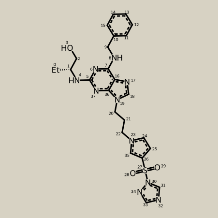 CC[C@H](CO)Nc1nc(NCc2ccccc2)c2ncn(CCCn3ccc(S(=O)(=O)n4cncn4)c3)c2n1